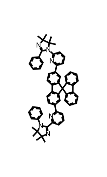 CC1(C)N=C(c2cccc(-c3ccc4c(c3)C3(c5ccccc5-c5ccccc53)c3cc(-c5cccc(N6C(c7ccccc7)=NC(C)(C)C6(C)C)n5)ccc3-4)n2)N(c2ccccc2)C1(C)C